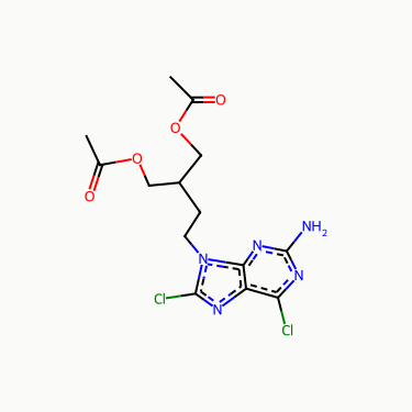 CC(=O)OCC(CCn1c(Cl)nc2c(Cl)nc(N)nc21)COC(C)=O